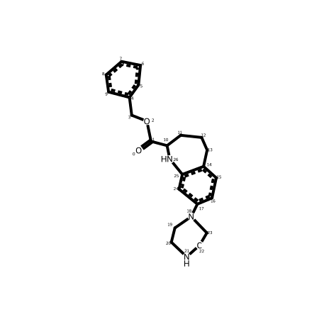 O=C(OCc1ccccc1)C1CCCc2ccc(N3CCNCC3)cc2N1